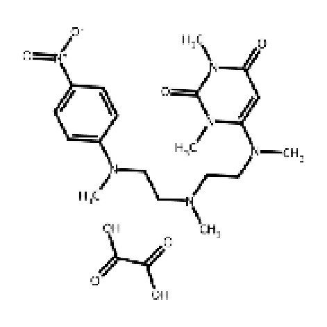 CN(CCN(C)c1ccc([N+](=O)[O-])cc1)CCN(C)c1cc(=O)n(C)c(=O)n1C.O=C(O)C(=O)O